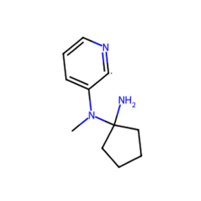 CN(c1[c]nccc1)C1(N)CCCC1